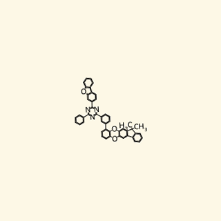 CC1(C)c2ccccc2-c2cc3c(cc21)Oc1c(cccc1-c1cccc(-c2nc(-c4ccccc4)nc(-c4ccc5c(c4)oc4ccccc45)n2)c1)O3